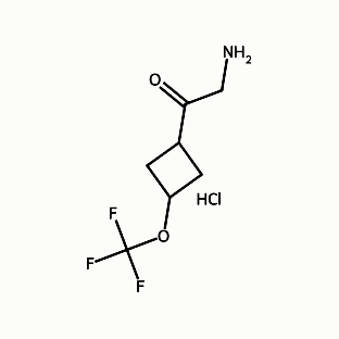 Cl.NCC(=O)C1CC(OC(F)(F)F)C1